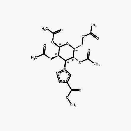 COC(=O)c1cn([C@@H]2[C@@H](OC(C)=O)[C@@H](COC(C)=O)O[C@H](OC(C)=O)[C@@H]2OC(C)=O)nn1